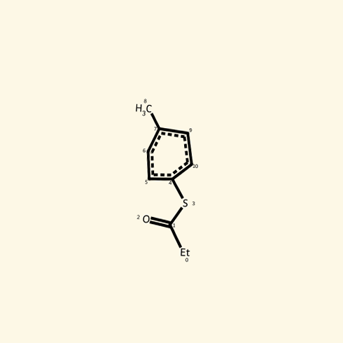 CCC(=O)Sc1ccc(C)cc1